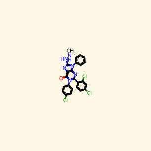 CNNc1nc2c(=O)n(-c3ccc(Cl)cc3)c(-c3ccc(Cl)cc3Cl)nc2n1-c1ccccc1